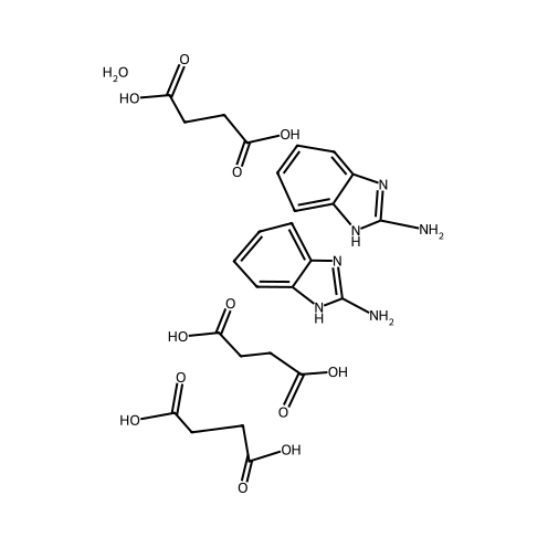 Nc1nc2ccccc2[nH]1.Nc1nc2ccccc2[nH]1.O.O=C(O)CCC(=O)O.O=C(O)CCC(=O)O.O=C(O)CCC(=O)O